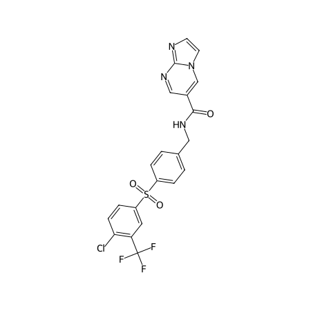 O=C(NCc1ccc(S(=O)(=O)c2ccc(Cl)c(C(F)(F)F)c2)cc1)c1cnc2nccn2c1